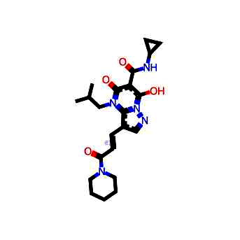 CC(C)Cn1c(=O)c(C(=O)NC2CC2)c(O)n2ncc(/C=C/C(=O)N3CCCCC3)c12